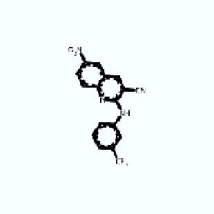 N#Cc1cc2cc([N+](=O)[O-])ccc2nc1Nc1cccc(C(F)(F)F)c1